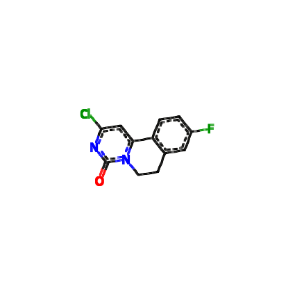 O=c1nc(Cl)cc2n1CCc1cc(F)ccc1-2